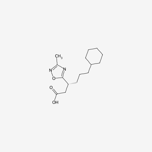 Cc1noc([C@H](CCCC2CCCCC2)CC(=O)O)n1